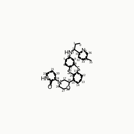 CCC(Nc1ccc2c(c1)Sc1cccc(C3CN(c4ccc[nH]c4=O)CCO3)c1S2)c1ccc(C)cn1